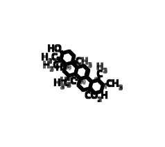 C[C@@H]1CC[C@]2(C(=O)O)CC[C@]3(C)C(=CCC4C3[C@@H](C)C[C@H]3C(C)(C)C(O)CCC43C)C2[C@H]1C